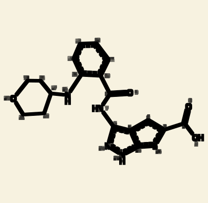 O=C(O)c1cc2c(NC(=O)c3ccccc3NC3CCOCC3)n[nH]c2s1